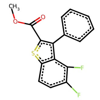 COC(=O)c1sc2ccc(F)c(F)c2c1-c1ccccc1